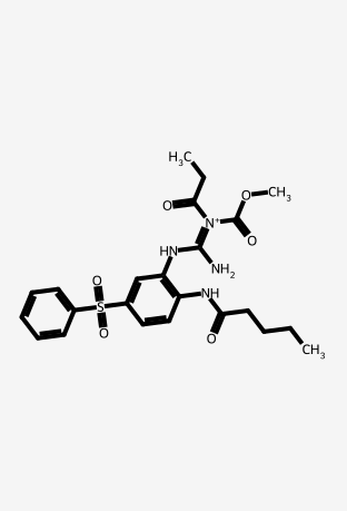 CCCCC(=O)Nc1ccc(S(=O)(=O)c2ccccc2)cc1NC(N)=[N+](C(=O)CC)C(=O)OC